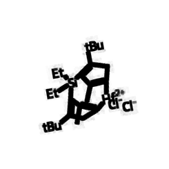 CC[Si]1(CC)C2=C(C(C)(C)C)C[C](=C2C)[Hf+2][C]2=C(C)C1=C(C(C)(C)C)C2.[Cl-].[Cl-]